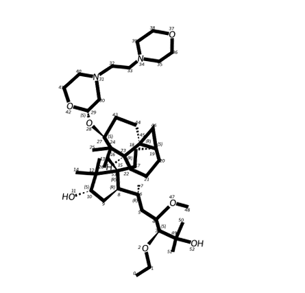 CCO[C@@H](C(C[C@@H](C)[C@H]1C[C@H](O)C(C)(C)[C@]1(C)CC[C@]12CCC[C@H]3C(C)(C)[C@@H](O[C@H]4CN(CCN5CCOCC5)CCO4)CC[C@@]31C2)OC)C(C)(C)O